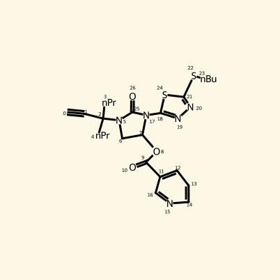 C#CC(CCC)(CCC)N1CC(OC(=O)c2cccnc2)N(c2nnc(SCCCC)s2)C1=O